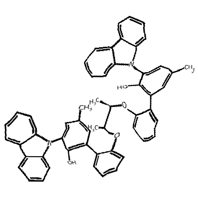 Cc1cc(-c2ccccc2OC(C)[C@@H](C)Oc2ccccc2-c2cc(C)cc(-n3c4ccccc4c4ccccc43)c2O)c(O)c(-n2c3ccccc3c3ccccc32)c1